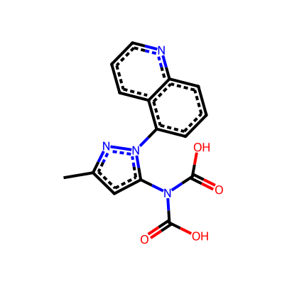 Cc1cc(N(C(=O)O)C(=O)O)n(-c2cccc3ncccc23)n1